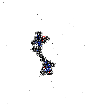 c1ccc(-c2nc(-c3cccc4c5ccccc5n(-c5ccccc5)c34)nc(-n3c4ccccc4c4ccc5c(c6ccccc6n5-c5ccc(-c6ccc(-c7ccc8c(c7)c7ccc(-c9nc(-c%10ccc%11c(c%10)oc%10ccccc%10%11)nc(-n%10c%11ccccc%11c%11ccc%12c(c%13ccccc%13n%12-c%12ccccc%12)c%11%10)n9)cc7n8-c7ccccc7)cc6)cc5)c43)n2)cc1